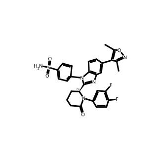 Cc1noc(C)c1-c1ccc2c(c1)nc([C@@H]1CCCC(=O)N1c1ccc(F)c(F)c1)n2-c1ccc(S(N)(=O)=O)cc1